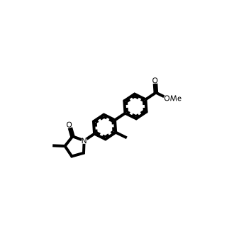 COC(=O)c1ccc(-c2ccc(N3CCC(C)C3=O)cc2C)cc1